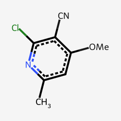 COc1cc(C)nc(Cl)c1C#N